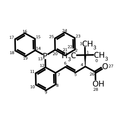 CC(C)(C)[C@H](/C=C/c1ccccc1P(c1ccccc1)c1ccccc1)C(=O)O